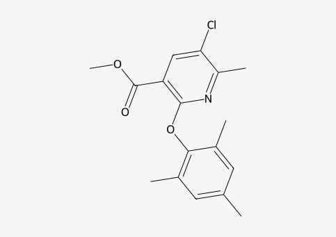 COC(=O)c1cc(Cl)c(C)nc1Oc1c(C)cc(C)cc1C